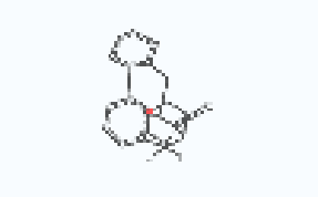 O=C1C2CCN(CC2)C1Cc1ccccc1-c1cccc(C(F)(F)F)c1